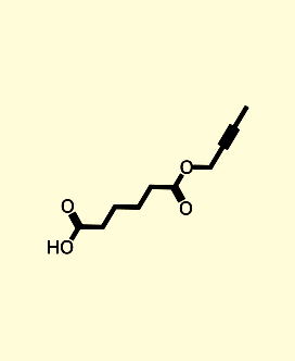 CC#CCOC(=O)CCCCC(=O)O